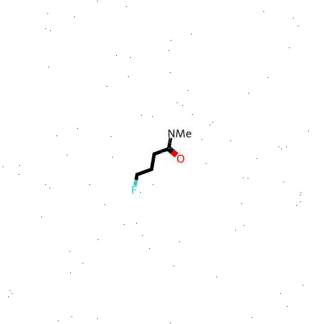 CNC(=O)CCCF